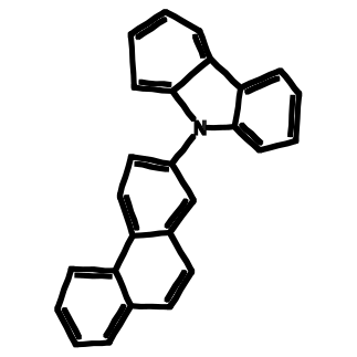 c1ccc2c(c1)ccc1cc(-n3c4ccccc4c4ccccc43)ccc12